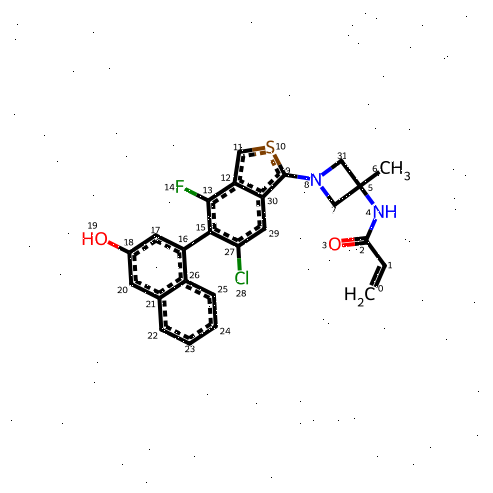 C=CC(=O)NC1(C)CN(c2scc3c(F)c(-c4cc(O)cc5ccccc45)c(Cl)cc23)C1